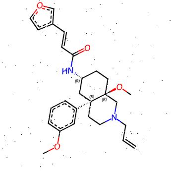 C=CCN1CC[C@@]2(c3cccc(OC)c3)C[C@H](NC(=O)C=Cc3ccoc3)CC[C@]2(OC)C1